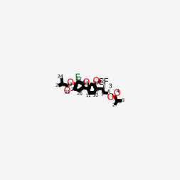 C=C(C)C(=O)OCCCc1ccc2c(oc3c(F)c(OC(=O)C(=C)C)ccc32)c1OC(F)(F)F